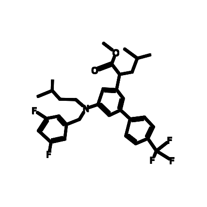 COC(=O)C(CC(C)C)c1cc(-c2ccc(C(F)(F)F)cc2)cc(N(CCC(C)C)Cc2cc(F)cc(F)c2)c1